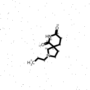 CCCN1CCC2(CCC(=O)NC2=O)C1